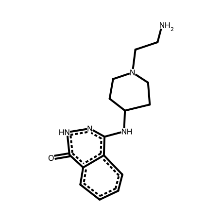 NCCN1CCC(Nc2n[nH]c(=O)c3ccccc23)CC1